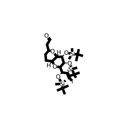 CC(C)(C)[Si](C)(C)O[C@H]1[C@H]2OC(CC=O)CC[C@@H]2OC([C@H](/C=C/I)O[Si](C)(C)C(C)(C)C)[C@H]1O[Si](C)(C)C(C)(C)C